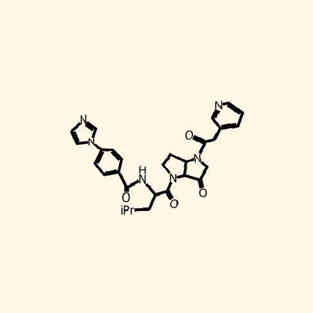 CC(C)CC(NC(=O)c1ccc(-n2ccnc2)cc1)C(=O)N1CCC2C1C(=O)CN2C(=O)Cc1cccnc1